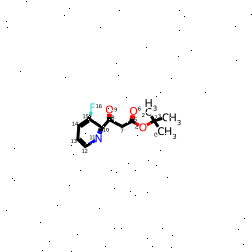 CC(C)(C)OC(=O)CC(=O)c1ncccc1F